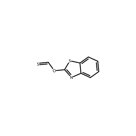 S=COc1nc2ccccc2s1